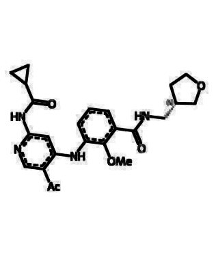 COc1c(Nc2cc(NC(=O)C3CC3)ncc2C(C)=O)cccc1C(=O)NC[C@@H]1CCOC1